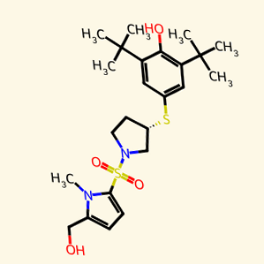 Cn1c(CO)ccc1S(=O)(=O)N1CC[C@H](Sc2cc(C(C)(C)C)c(O)c(C(C)(C)C)c2)C1